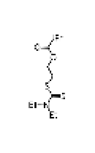 CCN(CC)C(=S)SCCOC(=O)C(C)C